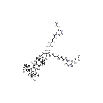 CCCCC/C=C\C/C=C\CCCCCCCCC1(CCCCCCCC/C=C\C/C=C\CCCCC)CCC2(CC1)O[C@H]1C[C@H](CCCOP(=O)(O)OC)[C@H](N(C)CCOP(=O)(O)OC)C[C@@H]1O2